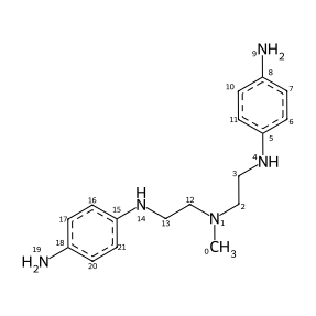 CN(CCNc1ccc(N)cc1)CCNc1ccc(N)cc1